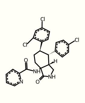 O=C(N[C@@]12CC[C@@H](c3ccc(Cl)cc3Cl)[C@H](c3ccc(Cl)cc3)[C@@H]1CNC2=O)c1ccccn1